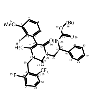 COc1cccc(-c2c(C)n(Cc3c(F)cccc3C(F)(F)F)c(=O)n(C[C@@H](NC(=O)OC(C)(C)C)c3ccccc3)c2=O)c1F